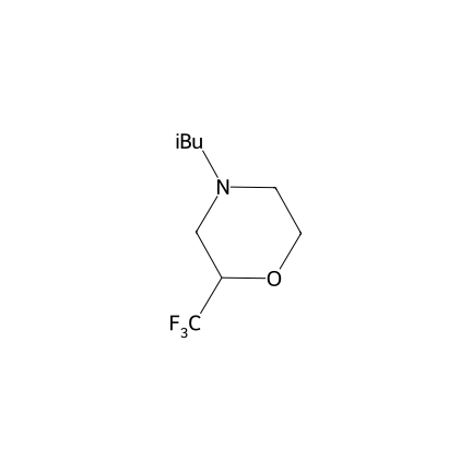 CCC(C)N1CCOC(C(F)(F)F)C1